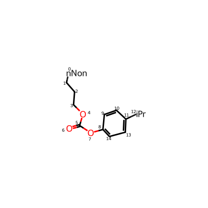 CCCCCCCCCCCCOC(=O)Oc1ccc(C(C)C)cc1